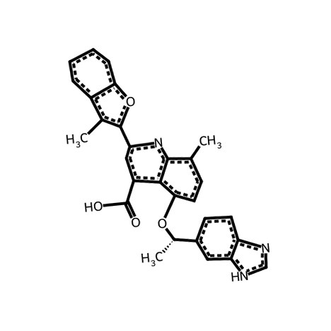 Cc1c(-c2cc(C(=O)O)c3c(O[C@@H](C)c4ccc5nc[nH]c5c4)ccc(C)c3n2)oc2ccccc12